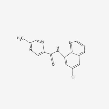 Cc1cnc(C(=O)Nc2cc(Cl)cc3cccnc23)cn1